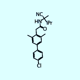 Cc1cc(-c2ccc(Cl)cc2)cc(C)c1CC(=O)NC(C)(C#N)C(C)C